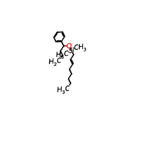 C=CCC(O[Si](C)(C)C/C=C/CCCCC)c1ccccc1